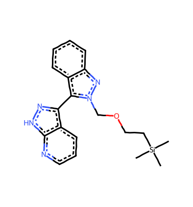 C[Si](C)(C)CCOCn1nc2ccccc2c1-c1n[nH]c2ncccc12